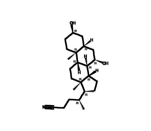 C[C@H](CCC#N)[C@H]1CC[C@H]2[C@@H]3[C@@H](O)C[C@@H]4C[C@H](O)CC[C@]4(C)[C@H]3CC[C@]12C